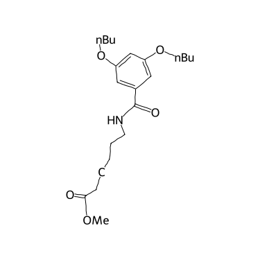 CCCCOc1cc(OCCCC)cc(C(=O)NCCCCCC(=O)OC)c1